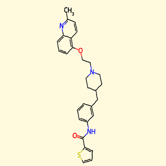 Cc1ccc2c(OCCN3CCC(Cc4cccc(NC(=O)c5cccs5)c4)CC3)cccc2n1